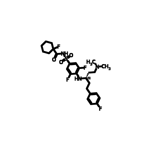 CN(C)CC[C@H](CCc1ccc(F)cc1)Nc1c(F)cc(S(=O)(=O)NC(=O)C2(F)CCCCC2)cc1F